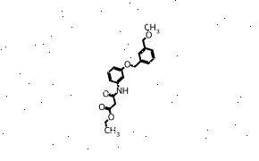 CCOC(=O)CC(=O)Nc1cccc(OCc2cccc(COC)c2)c1